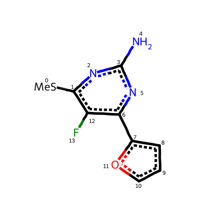 CSc1nc(N)nc(-c2ccco2)c1F